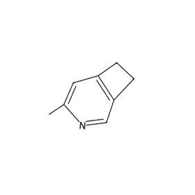 Cc1cc2c(cn1)CC2